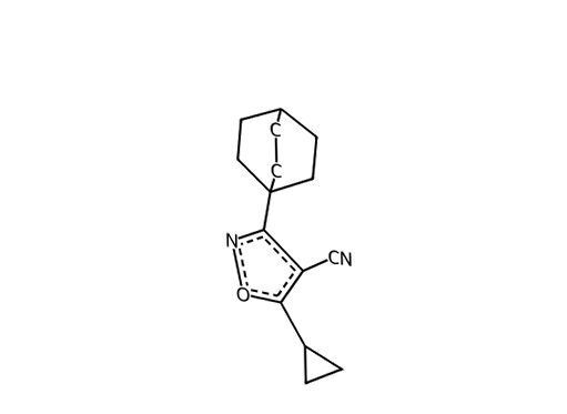 N#Cc1c(C23CCC(CC2)CC3)noc1C1CC1